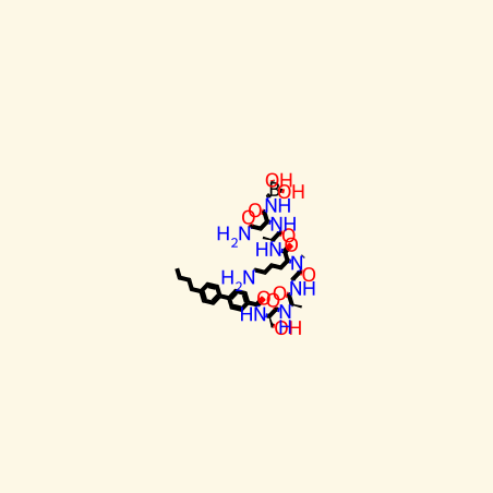 CCCCc1ccc(-c2ccc(C(=O)N[C@H](CO)C(=O)N[C@H](C)C(=O)NCC(=O)N(C)C(CCCCN)C(=O)N[C@@H](C)C(=O)NC(CC(N)=O)C(=O)NCB(O)O)cc2)cc1